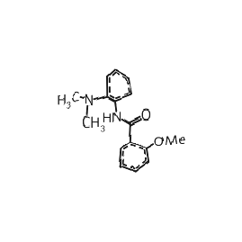 COc1ccccc1C(=O)Nc1ccccc1N(C)C